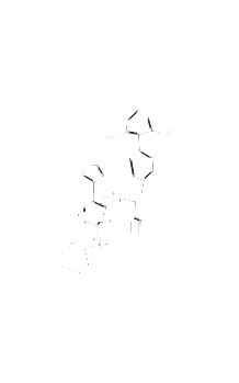 COc1cccc(OC)c1-c1ccc(C[C@H](Nc2nc(N(C)C3CCCCC3)ncc2-c2ccsc2)C(=O)O)cc1